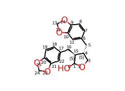 OC1OC[C@@H](Cc2ccc3c(c2)OCO3)[C@@H]1Cc1ccc2c(c1)OCO2